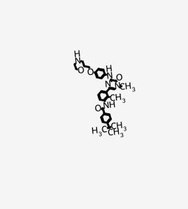 Cc1c(NC(=O)c2ccc(C(C)(C)C)cc2)cccc1-c1cn(C)c(=O)c(Nc2ccc(OCC3CNCCO3)cc2)n1